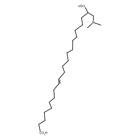 CCCCCCCCC(CCCCCCCCCCC=CCCCCCCCC(=O)O)CN(C)C